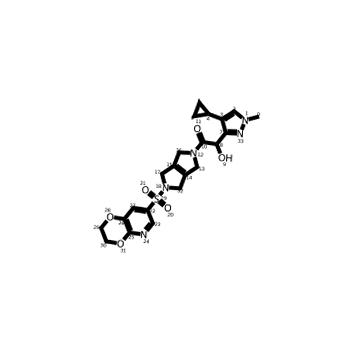 Cn1cc(C2CC2)c(C(O)C(=O)N2CC3=C(C2)CN(S(=O)(=O)c2cnc4c(c2)OCCO4)C3)n1